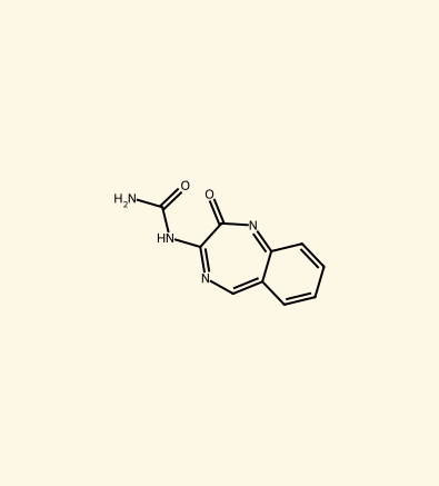 NC(=O)Nc1ncc2ccccc2nc1=O